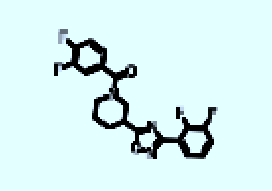 O=C(c1ccc(F)c(F)c1)N1CCCC(c2nc(-c3cccc(F)c3F)no2)C1